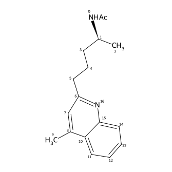 CC(=O)N[C@@H](C)CCCc1cc(C)c2ccccc2n1